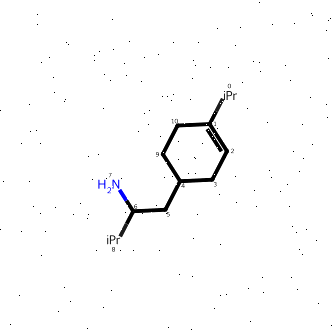 CC(C)C1=CCC(CC(N)C(C)C)CC1